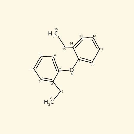 CCc1ccccc1Oc1ccccc1CC